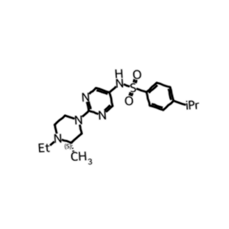 CCN1CCN(c2ncc(NS(=O)(=O)c3ccc(C(C)C)cc3)cn2)C[C@@H]1C